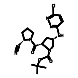 CC(C)(C)OC(=O)N1C[C@@H](Nc2ccc(Cl)nn2)C[C@H]1C(=O)N1CCC[C@H]1C#N